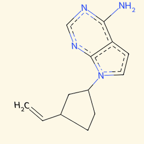 C=CC1CCC(n2ccc3c(N)ncnc32)C1